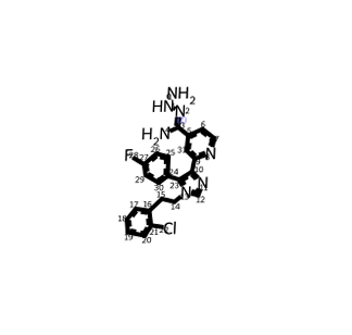 NN/N=C(\N)c1ccnc(-c2ncn(CCc3ccccc3Cl)c2-c2ccc(F)cc2)c1